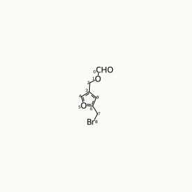 O=COCc1coc(CBr)c1